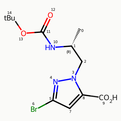 C[C@H](Cn1nc(Br)cc1C(=O)O)NC(=O)OC(C)(C)C